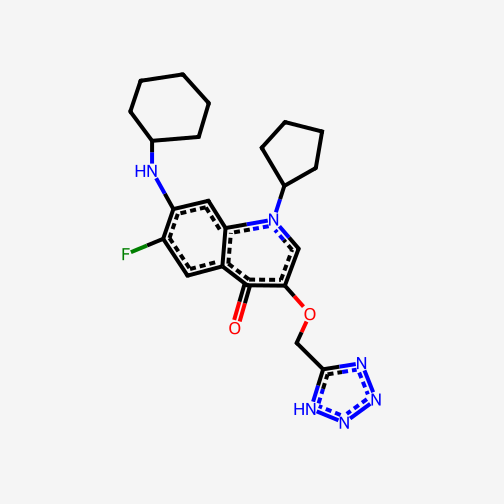 O=c1c(OCc2nnn[nH]2)cn(C2CCCC2)c2cc(NC3CCCCC3)c(F)cc12